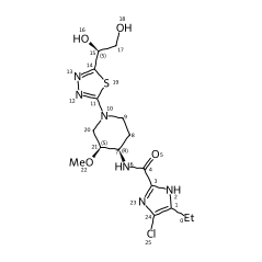 CCc1[nH]c(C(=O)N[C@@H]2CCN(c3nnc([C@@H](O)CO)s3)C[C@@H]2OC)nc1Cl